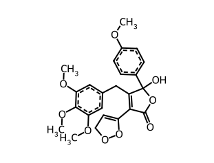 COc1ccc(C2(O)OC(=O)C(C3=CCOO3)=C2Cc2cc(OC)c(OC)c(OC)c2)cc1